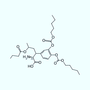 CCCCCOC(=O)Oc1ccc(C(CC(C)OC(=O)CCC)[C@H](N)C(=O)O)cc1OC(=O)OCCCCC